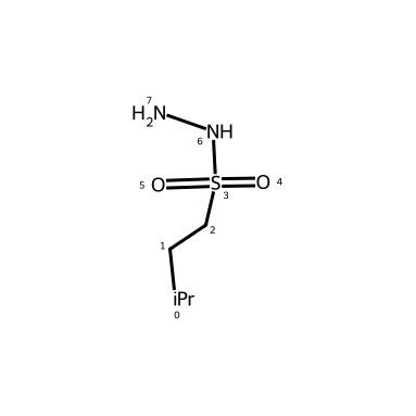 CC(C)CCS(=O)(=O)NN